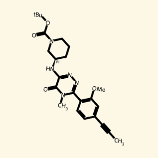 CC#Cc1ccc(-c2nnc(N[C@@H]3CCCN(C(=O)OC(C)(C)C)C3)c(=O)n2C)c(OC)c1